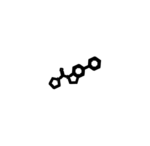 O=C(N1CCCC1)N1CCc2cc(-c3ccccc3)ccc21